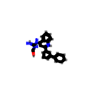 N=C(NC=O)Nc1cc(-c2cccc(C3CCCCC3)c2)nc2ccccc12